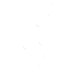 Cc1cc(I)ccc1Nc1c(C(=O)NOC[C@H](O)CO)oc2ccncc12